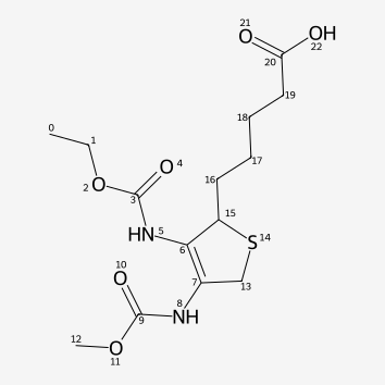 CCOC(=O)NC1=C(NC(=O)OC)CSC1CCCCC(=O)O